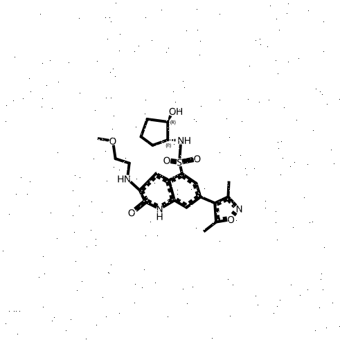 COCCNc1cc2c(S(=O)(=O)N[C@@H]3CCC[C@H]3O)cc(-c3c(C)noc3C)cc2[nH]c1=O